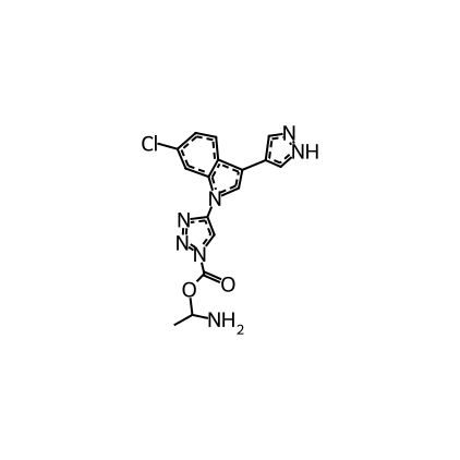 CC(N)OC(=O)n1cc(-n2cc(-c3cn[nH]c3)c3ccc(Cl)cc32)nn1